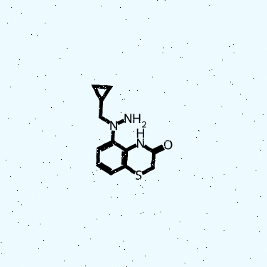 NN(CC1CC1)c1cccc2c1NC(=O)CS2